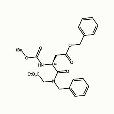 CCOC(=O)CN(Cc1ccccc1)C(=O)[C@H](CC(=O)OCc1ccccc1)NC(=O)OC(C)(C)C